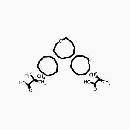 C.C.C1CCCCCCCCC1.C1CCCCCCCCC1.C1CCCCCCCCC1.C=C(C)C(=O)O.C=C(C)C(=O)O